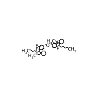 CCCCCC(C1(CCC)CCCCC1)[C@@]1(F)C=C[C@@H](COC[C@@H]2C=C[C@](F)(C(CCCCC)C3(CCC)CCCCC3)C(F)=C2)C=C1F